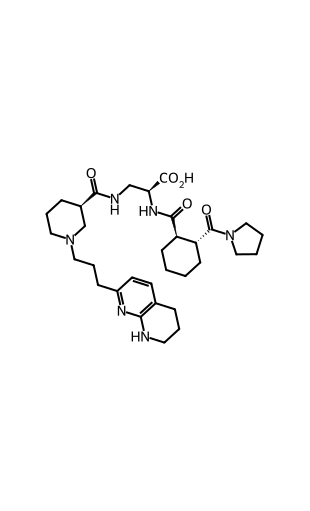 O=C(NC[C@H](NC(=O)[C@@H]1CCCC[C@H]1C(=O)N1CCCC1)C(=O)O)[C@@H]1CCCN(CCCc2ccc3c(n2)NCCC3)C1